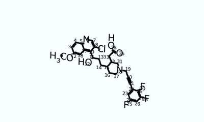 COc1ccc2ncc(Cl)c(C(O)CCC3CCN(CC#Cc4cc(F)cc(F)c4F)CC3CC(=O)O)c2c1